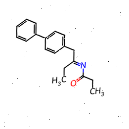 CCC(=O)/N=C(\CC)Cc1ccc(-c2ccccc2)cc1